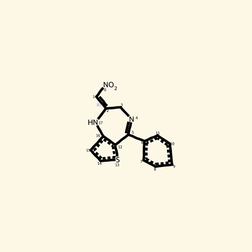 O=[N+]([O-])/C=C1\CN=C(c2ccccc2)c2sccc2N1